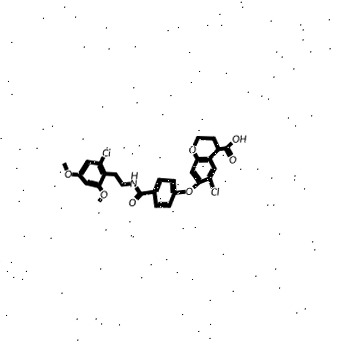 COc1cc(Cl)c(CCNC(=O)c2ccc(Oc3cc4c(cc3Cl)C(C(=O)O)CCO4)cc2)c(OC)c1